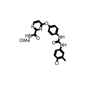 CONC(=O)c1nccc(Oc2ccc(NC(=O)Nc3ccc(Cl)c(C)c3)cc2)n1